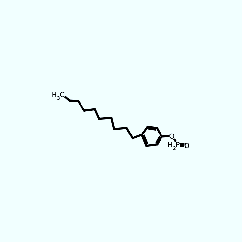 CCCCCCCCCCc1ccc(O[PH2]=O)cc1